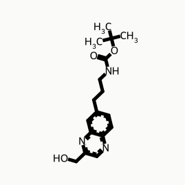 CC(C)(C)OC(=O)NCCCc1ccc2ncc(CO)nc2c1